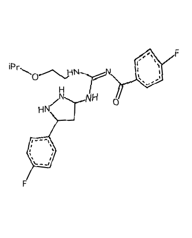 CC(C)OCCN/C(=N/C(=O)c1ccc(F)cc1)NC1CC(c2ccc(F)cc2)NN1